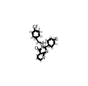 O=c1c2cccnc2nc(-c2ccc(F)cc2)n1NCc1ccc(C(F)(F)F)cc1